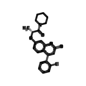 C[C@@H](Oc1ccc2c(-c3ccccc3Cl)cc(=O)oc2c1)C(=O)N1CCCCC1